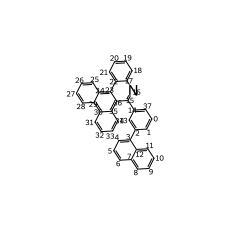 c1cc(-c2cccc3ccccc23)cc(-c2nc3ccccc3c3c4ccccc4c4ccccc4c23)c1